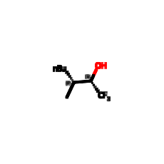 CCCC[C@@H](C)[C@H](O)C(F)(F)F